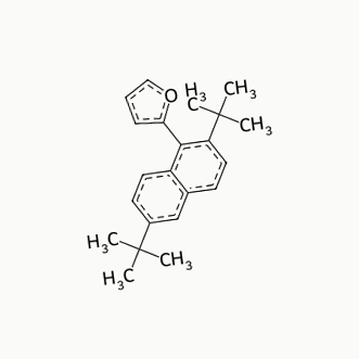 CC(C)(C)c1ccc2c(-c3ccco3)c(C(C)(C)C)ccc2c1